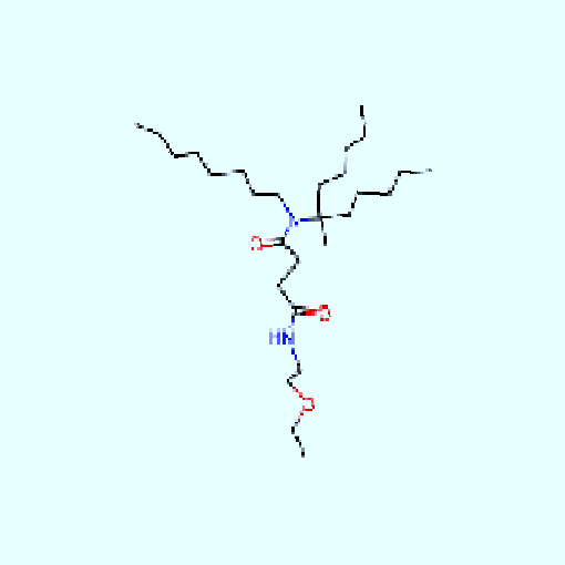 CCCCCCCCN(C(=O)CCC(=O)NCCOCC)C(C)(CCCCC)CCCCC